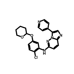 Clc1ccc(OC2CCCCO2)cc1Nc1ccc2ncc(-c3ccncc3)n2n1